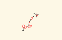 C=C(C)C(=O)OCC(O)COCCCOCCC[Si](O[Si](C)(C)C)(O[Si](C)(C)C)O[Si](C)(C)C